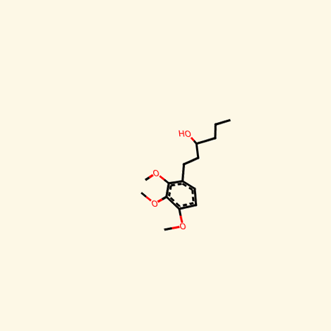 CCCC(O)CCc1ccc(OC)c(OC)c1OC